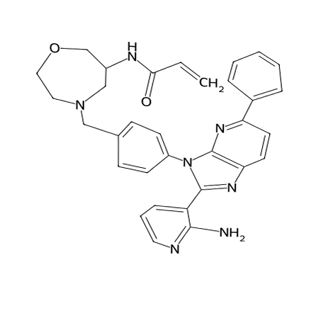 C=CC(=O)NC1COCCN(Cc2ccc(-n3c(-c4cccnc4N)nc4ccc(-c5ccccc5)nc43)cc2)C1